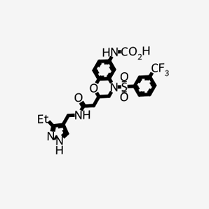 CCc1n[nH]cc1CNC(=O)CC1CN(S(=O)(=O)c2cccc(C(F)(F)F)c2)c2cc(NC(=O)O)ccc2O1